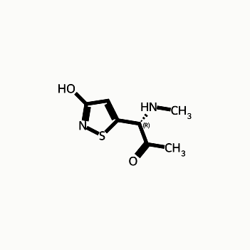 CN[C@H](C(C)=O)c1cc(O)ns1